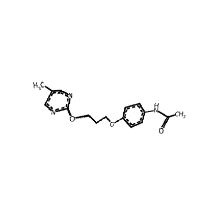 CC(=O)Nc1ccc(OCCCOc2ncc(C)cn2)cc1